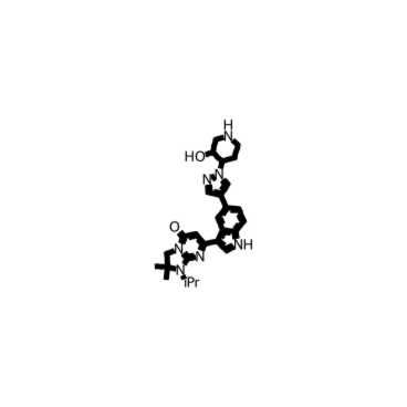 CC(C)N1c2nc(-c3c[nH]c4ccc(-c5cnn(C6CCNCC6O)c5)cc34)cc(=O)n2CC1(C)C